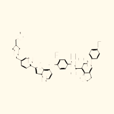 COCC1CN(Cc2ccc(-c3cc4nccc(Oc5ccc(NC(=O)c6c7c(cn(-c8ccc(F)cc8)c6=O)CCO7)cc5F)c4s3)nc2)C1